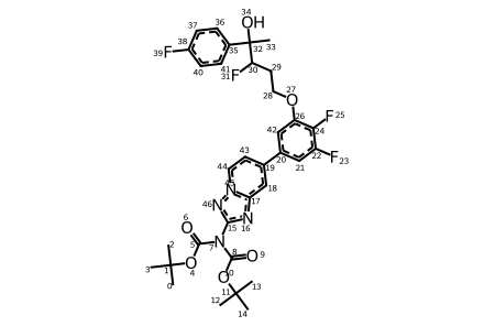 CC(C)(C)OC(=O)N(C(=O)OC(C)(C)C)c1nc2cc(-c3cc(F)c(F)c(OCCC(F)C(C)(O)c4ccc(F)cc4)c3)ccn2n1